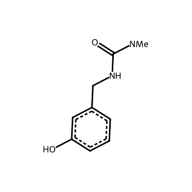 CNC(=O)NCc1cccc(O)c1